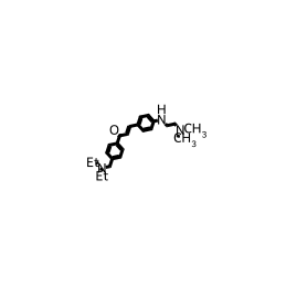 CCN(CC)Cc1ccc(C(=O)/C=C/c2ccc(NCCN(C)C)cc2)cc1